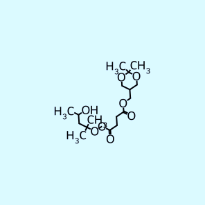 CC(O)CC(C)(C)OOC(=O)CCC(=O)OCC1COC(C)(C)OC1